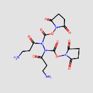 NCCC(=O)N(C(=O)ON1C(=O)CCC1=O)N(C(=O)CCN)C(=O)ON1C(=O)CCC1=O